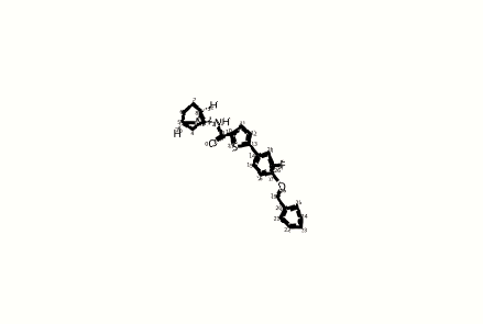 O=C(N[C@@H]1C[C@H]2CC[C@@H]1N2)c1ccc(-c2ccc(OCc3ccccc3)c(F)c2)s1